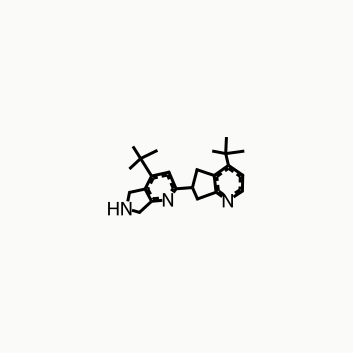 CC(C)(C)c1ccnc2c1CC(c1cc(C(C)(C)C)c3c(n1)CNC3)C2